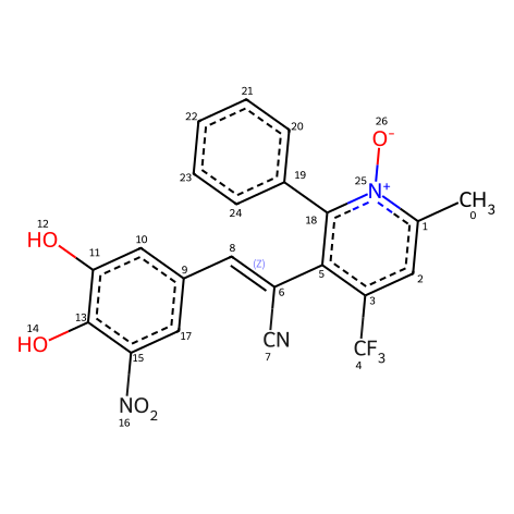 Cc1cc(C(F)(F)F)c(/C(C#N)=C/c2cc(O)c(O)c([N+](=O)[O-])c2)c(-c2ccccc2)[n+]1[O-]